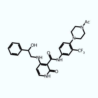 CC(=O)N1CCN(c2ccc(NC(=O)c3c(NCC(O)c4ccccc4)cc[nH]c3=O)cc2C(F)(F)F)CC1